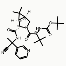 CC(C)(C)OC(=O)N[C@H](C(=O)N1C[C@H]2[C@@H]([C@H]1C(=O)NC(C)(C#N)c1cccnc1)C2(C)C)C(C)(C)C